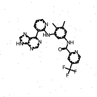 Cc1cc(NC(=O)c2cc(C(F)(F)F)ccn2)cc(Nc2ncccc2-c2ncnc3[nH]cnc23)c1C